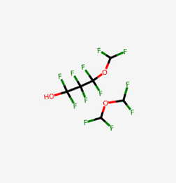 FC(F)OC(F)F.OC(F)(F)C(F)(F)C(F)(F)OC(F)F